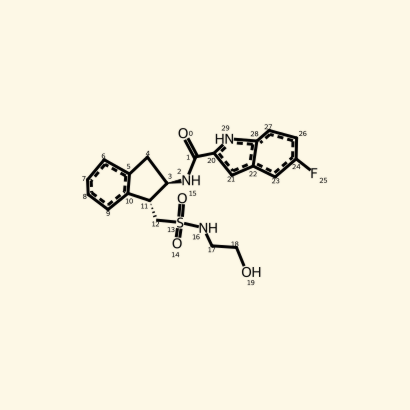 O=C(N[C@@H]1Cc2ccccc2[C@H]1CS(=O)(=O)NCCO)c1cc2cc(F)ccc2[nH]1